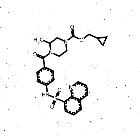 CC1CN(C(=O)OCC2CC2)CCN1C(=O)c1ccc(NS(=O)(=O)c2cccc3cccnc23)cc1